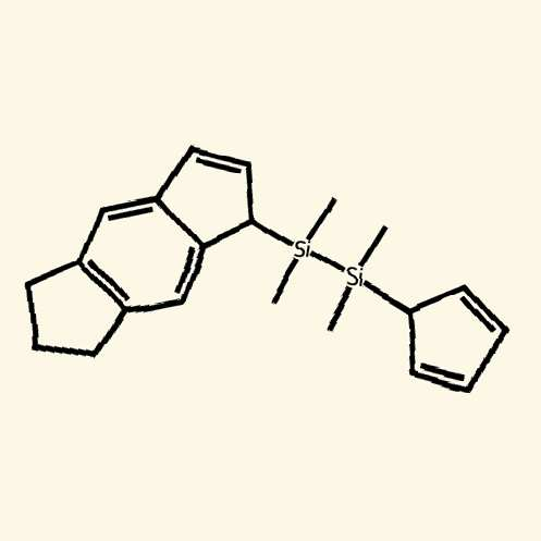 C[Si](C)(C1C=CC=C1)[Si](C)(C)C1C=Cc2cc3c(cc21)CCC3